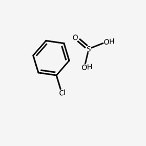 Clc1ccccc1.O=S(O)O